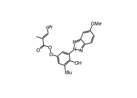 CCCC=C(C)C(=O)OOc1cc(-n2nc3ccc(OC)cc3n2)c(O)c(C(C)(C)C)c1